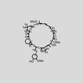 [2H]C([2H])([2H])[C@@H]1/C=C(\C)[C@@H](O)[C@@H](OC)C(=O)[C@H](C)C([2H])(C)[C@]([2H])(C)/C=C/C=C/C=C(\C)[C@@H](OC)C[C@@H]2CC([2H])([2H])[C@@H](C)[C@@](O)(O2)C(=O)C(=O)N2CCCC[C@H]2C(=O)O[C@H]([C@H](C)C[C@@H]2CC[C@@H](O)[C@H](OC)C2)CC1=O